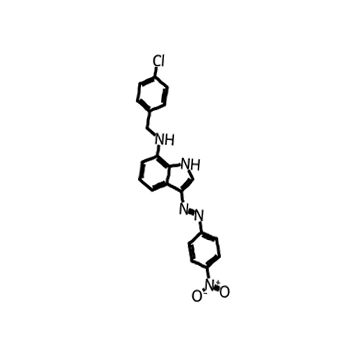 O=[N+]([O-])c1ccc(/N=N/c2c[nH]c3c(NCc4ccc(Cl)cc4)cccc23)cc1